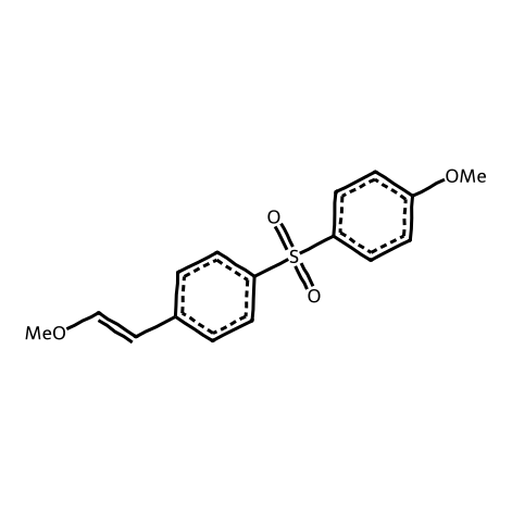 CO/C=C/c1ccc(S(=O)(=O)c2ccc(OC)cc2)cc1